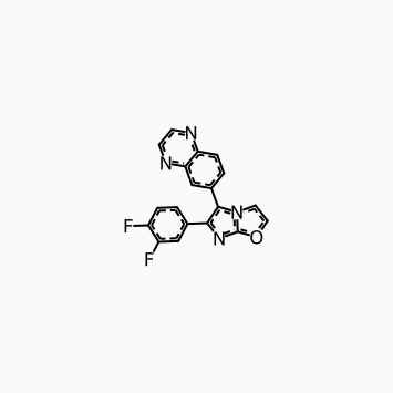 Fc1ccc(-c2nc3occn3c2-c2ccc3nccnc3c2)cc1F